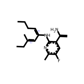 C=C(N)c1cc(F)c(C)nc1NC(/C=C(\C)CC)=C/CCC